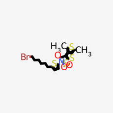 Cc1sc(C)c2c3c(sc12)S(=O)(=O)N(c1ccc(CCCCCCBr)s1)C3=O